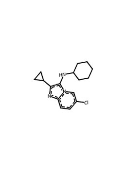 Clc1ccc2nc(C3CC3)c(NC3CCCCC3)n2c1